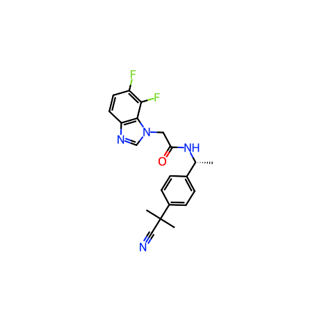 C[C@@H](NC(=O)Cn1cnc2ccc(F)c(F)c21)c1ccc(C(C)(C)C#N)cc1